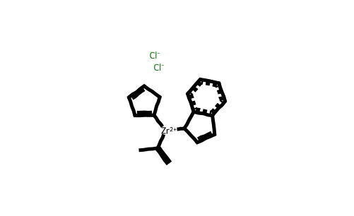 C=[C](C)[Zr+2]([C]1=CC=CC1)[CH]1C=Cc2ccccc21.[Cl-].[Cl-]